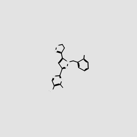 N#Cc1cnc(-c2cc(C3=NOCC3)n(Cc3ccccc3F)n2)nc1O